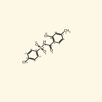 Cc1ccc(C(=O)NS(=O)(=O)c2ccc(Cl)cc2)c(Cl)c1